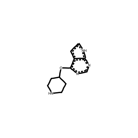 c1nc(OC2CCNCC2)c2cc[nH]c2n1